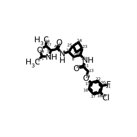 CC1NC(C(=O)NC2CC(NC(=O)COc3ccc(Cl)c(F)c3)C3CC2C3)C(C)O1